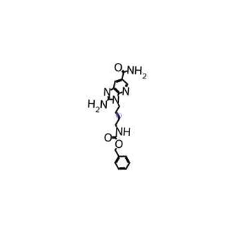 NC(=O)c1cnc2c(c1)nc(N)n2C/C=C/CNC(=O)OCc1ccccc1